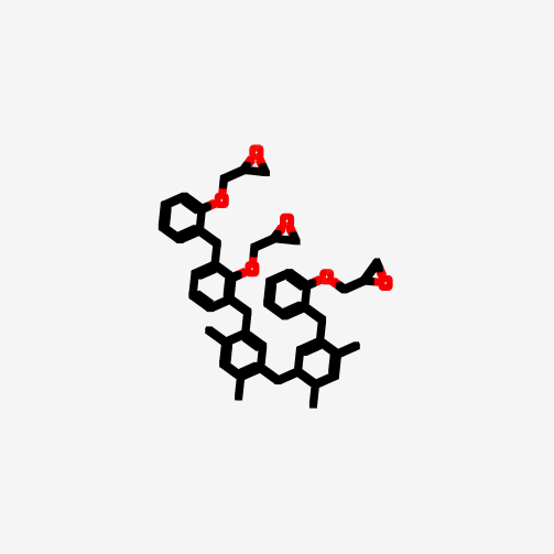 CC1=CC(C)C(Cc2cc(Cc3cccc(Cc4ccccc4OCC4CO4)c3OCC3CO3)c(C)cc2C)C=C1Cc1ccccc1OCC1CO1